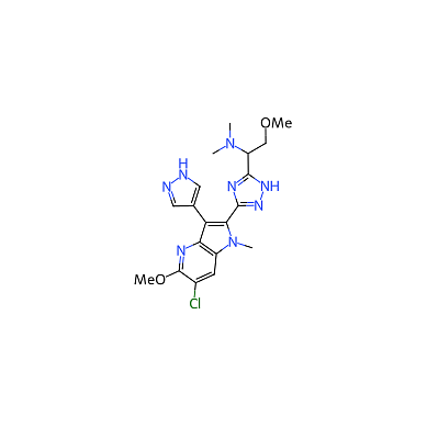 COCC(c1nc(-c2c(-c3cn[nH]c3)c3nc(OC)c(Cl)cc3n2C)n[nH]1)N(C)C